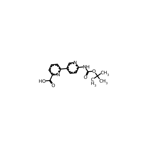 CC(C)(C)OC(=O)Nc1ccc(-c2cccc(C(=O)O)n2)cn1